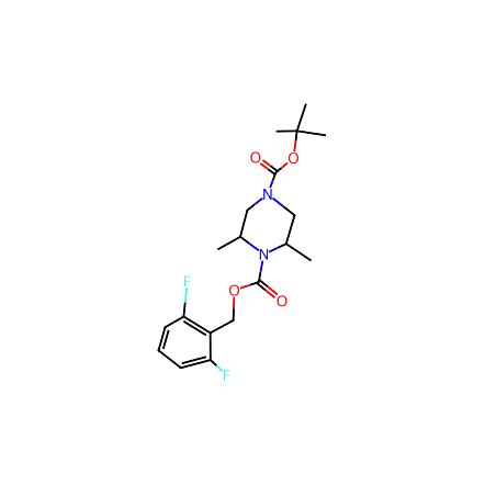 CC1CN(C(=O)OC(C)(C)C)CC(C)N1C(=O)OCc1c(F)cccc1F